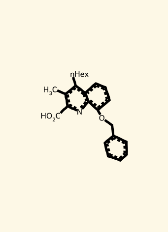 CCCCCCc1c(C)c(C(=O)O)nc2c(OCc3ccccc3)cccc12